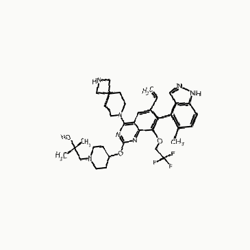 C=Cc1cc2c(N3CCC4(CC3)CNC4)nc(OC3CCN(CC(C)(C)O)CC3)nc2c(OCC(F)(F)F)c1-c1c(C)ccc2[nH]ncc12